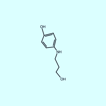 OCCCNc1ccc(O)cc1